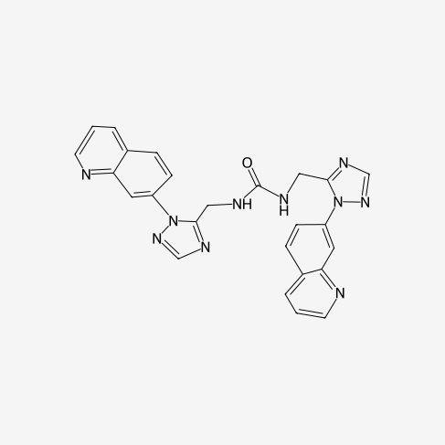 O=C(NCc1ncnn1-c1ccc2cccnc2c1)NCc1ncnn1-c1ccc2cccnc2c1